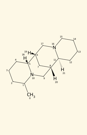 CC1CCC[C@@H]2[C@H]3C[C@@H](CN12)[C@@H]1CCCCN1C3